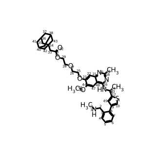 CNCc1ccccc1-c1csc([C@H](C)Nc2nc(C)nc3cc(OCCOCCOC(=O)CC45CC6CC(CC(C6)C4)C5)c(OC)cc23)c1